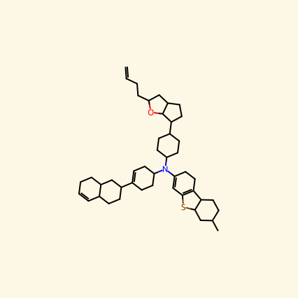 C=CCCC1CC2CCC(C3CCC(N(C4=CC5=C(CC4)C4CCC(C)CC4S5)C4CC=C(C5CCC6C=CCCC6C5)CC4)CC3)C2O1